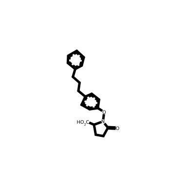 O=C(O)C1CCC(=O)N1Oc1ccc(CCCc2ccccc2)cc1